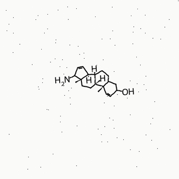 C[C@]12C=CC(O)CC1CC[C@@H]1[C@H]2CC[C@]2(C)C(N)C=C[C@@H]12